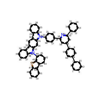 c1ccc(-c2ccc(-c3cc(-c4ccccc4)nc(-c4ccc(-n5c6ccccc6c6cc7c8ccccc8n(-c8cccc9c8sc8ccccc89)c7cc65)cc4)c3)cc2)cc1